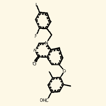 Cc1cc(C=O)cc(C)c1Oc1ccc2c(c1)c(=O)ncn2Cc1ccc(I)cc1F